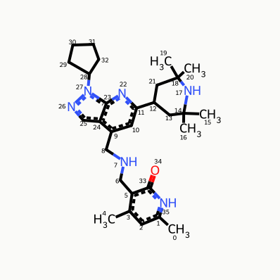 Cc1cc(C)c(CNCc2cc(C3CC(C)(C)NC(C)(C)C3)nc3c2cnn3C2CCCC2)c(=O)[nH]1